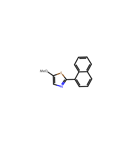 COc1cnc(-c2cccc3ccccc23)s1